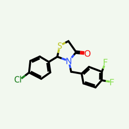 O=C1CSC(c2ccc(Cl)cc2)N1Cc1ccc(F)c(F)c1